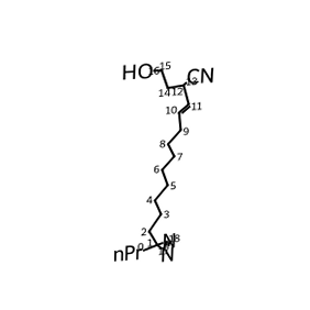 CCCC1(CCCCCCCC/C=C/C(C#N)CCO)N=N1